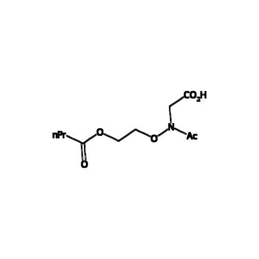 CCCC(=O)OCCON(CC(=O)O)C(C)=O